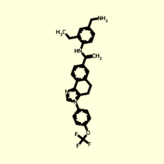 C=C(Nc1ccc(CN)cc1CC)c1ccc2c(c1)CCc1c-2ncn1-c1ccc(OC(F)(F)F)cc1